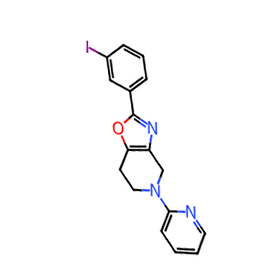 Ic1cccc(-c2nc3c(o2)CCN(c2ccccn2)C3)c1